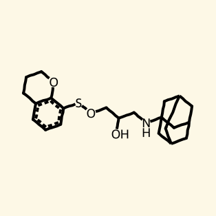 OC(CNC12CC3CC(CC(C3)C1)C2)COSc1cccc2c1OCCC2